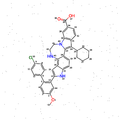 COc1ccc(-c2ccc(Cl)cc2)c(-c2cc3c4c(ccc3[nH]2)-c2c(C3CCCCC3)c3ccc(C(=O)O)cc3n2CCN4)c1